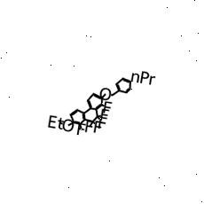 CCCc1ccc(COc2ccc3c(c2F)C(F)(F)C(F)(F)c2c-3ccc(OCC)c2F)cc1